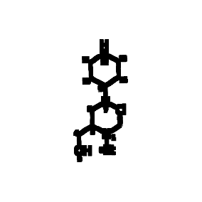 CCN(C)C(CO)CN(Cl)C1CCNCC1